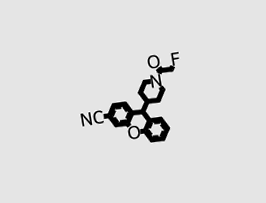 N#Cc1ccc2c(c1)Oc1ccccc1C2C1CCN(C(=O)CF)CC1